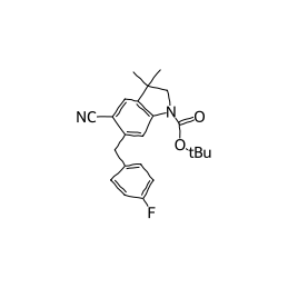 CC(C)(C)OC(=O)N1CC(C)(C)c2cc(C#N)c(Cc3ccc(F)cc3)cc21